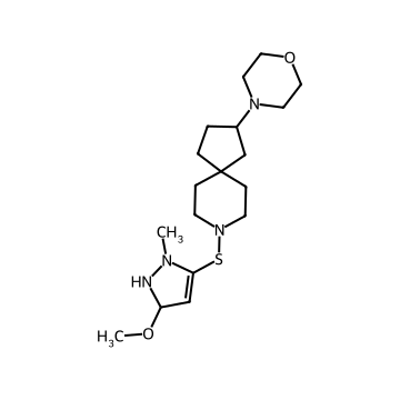 COC1C=C(SN2CCC3(CCC(N4CCOCC4)C3)CC2)N(C)N1